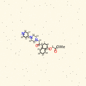 COC(=O)COc1ccc(C(=O)CN2CCN(c3ccncc3)CC2)c2ccccc12